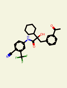 CC(=O)c1cccc(CC(O)(C(=O)Nc2ccc(C#N)c(C(F)(F)F)c2)C2CCCCC2)c1